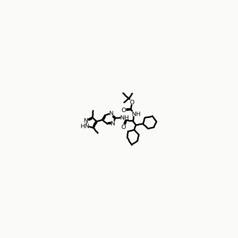 Cc1n[nH]c(C)c1-c1cnc(NC(=O)C(NC(=O)OC(C)(C)C)C(C2CCCCC2)C2CCCCC2)nc1